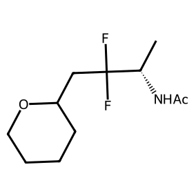 CC(=O)N[C@@H](C)C(F)(F)CC1CCCCO1